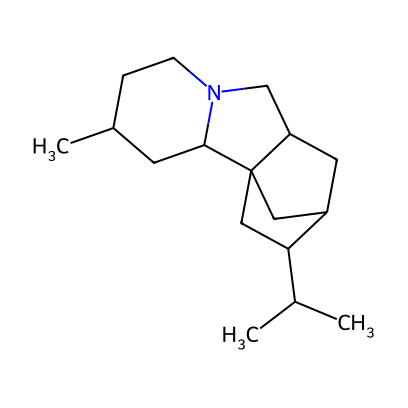 CC1CCN2CC3CC4CC3(CC4C(C)C)C2C1